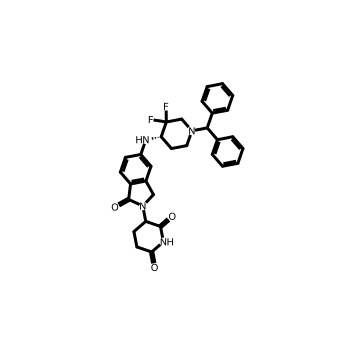 O=C1CCC(N2Cc3cc(N[C@H]4CCN(C(c5ccccc5)c5ccccc5)CC4(F)F)ccc3C2=O)C(=O)N1